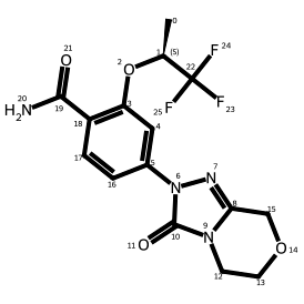 C[C@H](Oc1cc(-n2nc3n(c2=O)CCOC3)ccc1C(N)=O)C(F)(F)F